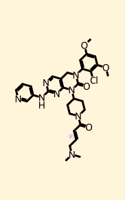 COc1cc(OC)c(Cl)c(N2Cc3cnc(Nc4cccnc4)nc3N(C3CCN(C(=O)/C=C/CN(C)C)CC3)C2=O)c1